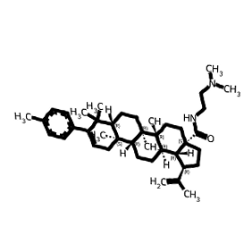 C=C(C)[C@@H]1CC[C@]2(C(=O)NCCN(C)C)CC[C@]3(C)[C@H](CC[C@@H]4[C@@]5(C)CC=C(c6ccc(C)cc6)C(C)(C)[C@@H]5CC[C@]43C)[C@@H]12